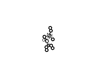 C1=c2oc3cccc(-c4nc(-c5ccccc5)nc(-c5ccc6ccccc6c5)n4)c3c2=CCC1n1c2ccc3ccccc3c2c2c3ccccc3ccc21